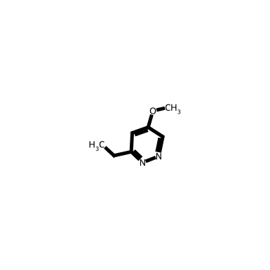 C[CH]c1cc(OC)cnn1